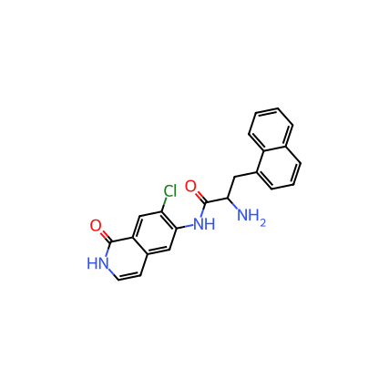 NC(Cc1cccc2ccccc12)C(=O)Nc1cc2cc[nH]c(=O)c2cc1Cl